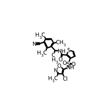 Cc1cc(C)c(C(C)NC(=O)c2sccc2S(=O)(=O)Nc2onc(C)c2Cl)c(C)c1C#N